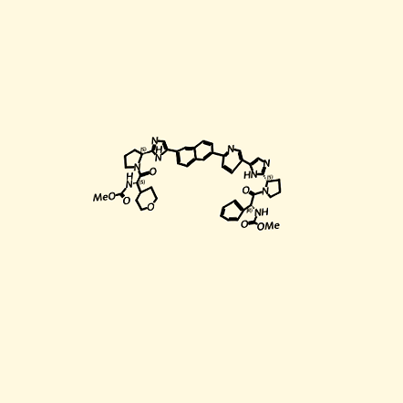 COC(=O)N[C@H](C(=O)N1CCC[C@H]1c1ncc(-c2ccc3cc(-c4ccc(-c5cnc([C@@H]6CCCN6C(=O)[C@H](NC(=O)OC)c6ccccc6)[nH]5)cn4)ccc3c2)[nH]1)C1CCOCC1